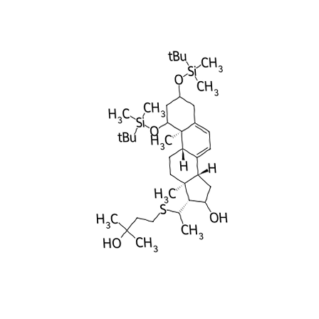 CC(SCCC(C)(C)O)[C@H]1C(O)C[C@H]2C3=CC=C4CC(O[Si](C)(C)C(C)(C)C)CC(O[Si](C)(C)C(C)(C)C)[C@]4(C)[C@H]3CC[C@]12C